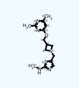 CNc1ncc(CN2CC(COc3cc(C)nc(C)n3)C2)s1